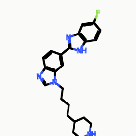 Fc1ccc2[nH]c(-c3ccc4ncn(CCCCC5CCNCC5)c4c3)nc2c1